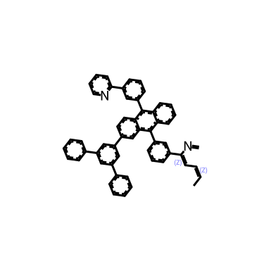 C=N/C(=C\C=C/C)c1cccc(-c2c3ccccc3c(-c3cccc(-c4ccccn4)c3)c3ccc(-c4cc(-c5ccccc5)cc(-c5ccccc5)c4)cc23)c1